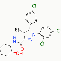 CC[C@H]1C(C(=O)N[C@H]2CCCC[C@@H]2O)=NN(c2ccc(Cl)cc2Cl)[C@H]1c1ccc(Cl)cc1